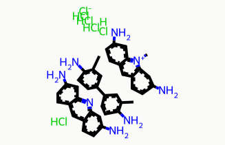 C[n+]1c2cc(N)ccc2cc2ccc(N)cc21.Cc1cc(-c2ccc(N)c(C)c2)ccc1N.Cl.Cl.Cl.Cl.Cl.Nc1ccc2cc3ccc(N)cc3nc2c1.[Cl-]